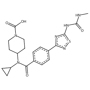 CNC(=O)Nc1nc(-c2ccc(C(=O)N(C3CC3)C3CCN(C(=O)O)CC3)cc2)ns1